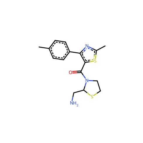 Cc1ccc(-c2nc(C)sc2C(=O)N2CCSC2CN)cc1